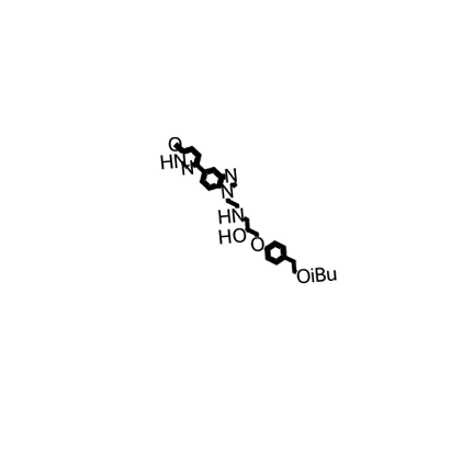 CC(C)COCCc1ccc(OCC(O)CNCCn2cnc3cc(-c4ccc(=O)[nH]n4)ccc32)cc1